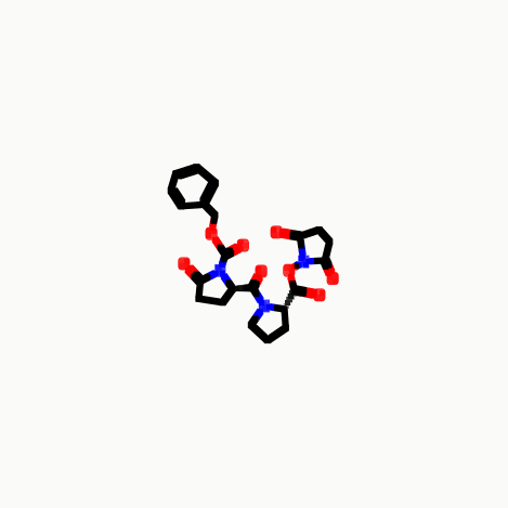 O=C(ON1C(=O)CCC1=O)[C@@H]1CCCN1C(=O)[C@H]1CCC(=O)N1C(=O)OCc1ccccc1